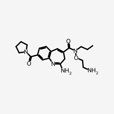 CCCN(OCCN)C(=O)C1=Cc2ccc(C(=O)N3CCCC3)cc2N=C(N)C1